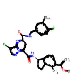 C=C(OC(C)(C)C)c1ccc2c(c1C)CC[C@@H]2NC(=O)c1cc(C(=O)NCc2ccc(F)c(OC)c2)nc2c(F)cnn12